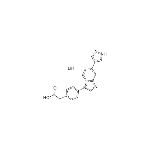 O=C(O)Cc1ccc(-n2cnc3cc(-c4cn[nH]c4)ccc32)cc1.[LiH]